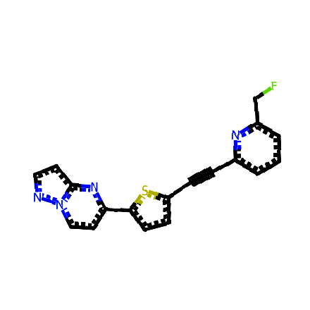 FCc1cccc(C#Cc2ccc(-c3ccn4nccc4n3)s2)n1